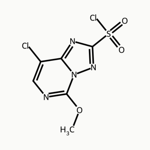 COc1ncc(Cl)c2nc(S(=O)(=O)Cl)nn12